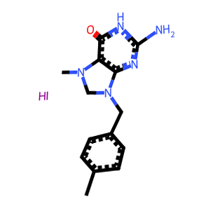 Cc1ccc(CN2CN(C)c3c2nc(N)[nH]c3=O)cc1.I